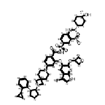 C[C@]1(O)CC[C@H](CNc2ccc(S(=O)(=O)NC(=O)c3ccc(N4CCC5(CC4)CN([C@H]4CCC[C@H]4c4ccccc4C4CC4)C5)cc3Oc3cc4c(F)c[nH]c4nc3OC3COC3)cc2[N+](=O)[O-])CC1